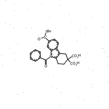 CC(C)(C)[S+]([O-])c1ccc2c3c(n(C(=O)c4ccccc4)c2c1)CCC(C(=O)O)(C(=O)O)C3